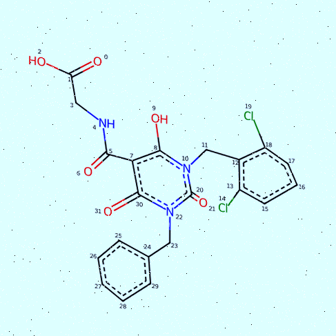 O=C(O)CNC(=O)c1c(O)n(Cc2c(Cl)cccc2Cl)c(=O)n(Cc2ccccc2)c1=O